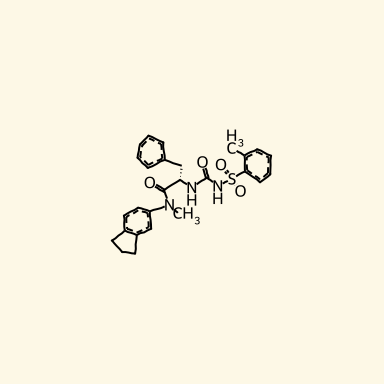 Cc1ccccc1S(=O)(=O)NC(=O)N[C@@H](Cc1ccccc1)C(=O)N(C)c1ccc2c(c1)CCC2